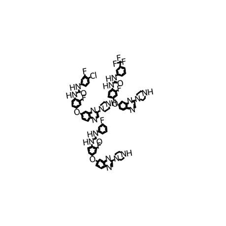 O=C(Nc1ccc(Cl)c(F)c1)Nc1ccc(Oc2ccc3ncc(N4CCNCC4)nc3c2)cc1F.O=C(Nc1cccc(C(F)(F)F)c1)Nc1ccc(Oc2ccc3ncc(N4CCNCC4)nc3c2)cc1F.O=C(Nc1cccc(F)c1)Nc1ccc(Oc2ccc3ncc(N4CCNCC4)nc3c2)cc1F